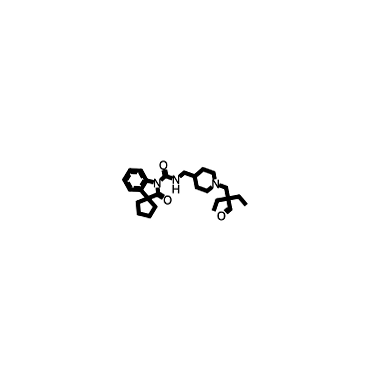 CCC(C=O)(CC)CN1CCC(CNC(=O)N2C(=O)C3(CCCC3)c3ccccc32)CC1